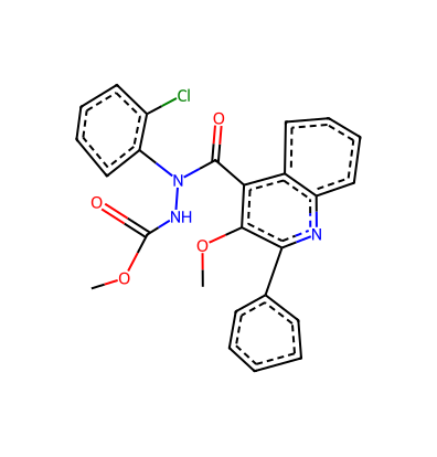 COC(=O)NN(C(=O)c1c(OC)c(-c2ccccc2)nc2ccccc12)c1ccccc1Cl